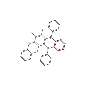 Cc1c(C)c(P(c2ccccc2)c2ccccc2)c(P(c2ccccc2)c2ccccc2)c2c1Oc1ccccc1C2